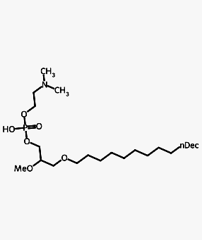 CCCCCCCCCCCCCCCCCCCOCC(COP(=O)(O)OCCN(C)C)OC